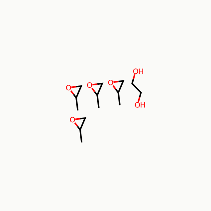 CC1CO1.CC1CO1.CC1CO1.CC1CO1.OCCO